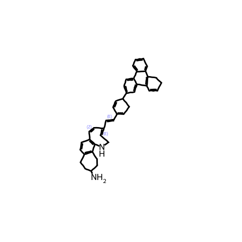 NC1CCc2ccc3c(c2CC1)NC/C=C(\C=C\C1=CCC(c2ccc4c(c2)c2c(c5ccccc54)CCC=C2)C=C1)/C=C\3